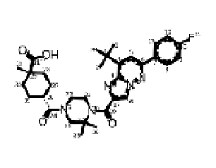 CC(C)(C)c1cc(-c2ccc(F)cc2)nn2cc(C(=O)N3CCN(C(=O)[C@H]4CC[C@@](C)(C(=O)O)CC4)CC3(C)C)nc12